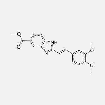 COC(=O)c1ccc2[nH]c(/C=C/c3ccc(OC)c(OC)c3)nc2c1